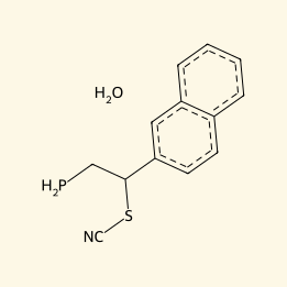 N#CSC(CP)c1ccc2ccccc2c1.O